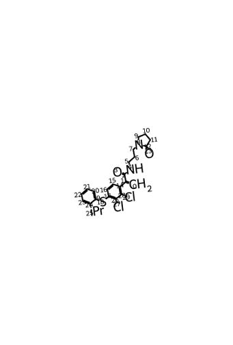 C=C(C(=O)NCCCN1CCCC1=O)c1ccc(Sc2ccccc2C(C)C)c(Cl)c1Cl